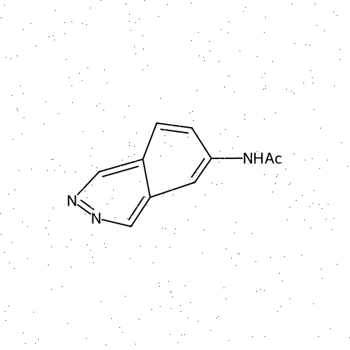 CC(=O)Nc1ccc2cnncc2c1